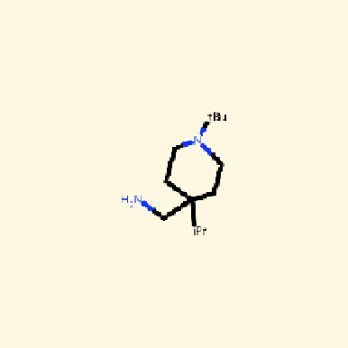 CC(C)C1(CN)CCN(C(C)(C)C)CC1